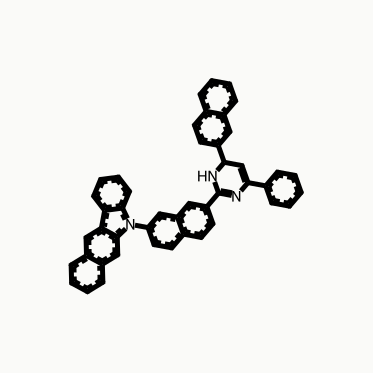 C1=C(c2ccccc2)N=C(c2ccc3ccc(-n4c5ccccc5c5cc6ccccc6cc54)cc3c2)NC1c1ccc2ccccc2c1